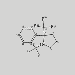 CC(C)(C)N1CCCC1(c1ccccc1)C(F)(F)F